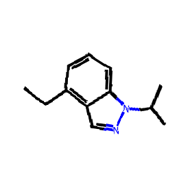 CCc1cccc2c1cnn2C(C)C